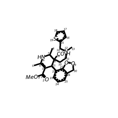 COC(=O)C1=C(C)NC(C)C(CCN(C)Cc2cccs2)(C(=O)O)C1c1cccc2c1OOC2